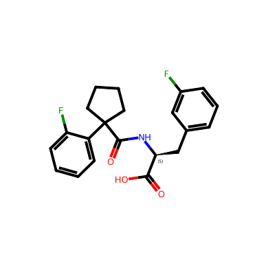 O=C(O)[C@H](Cc1cccc(F)c1)NC(=O)C1(c2ccccc2F)CCCC1